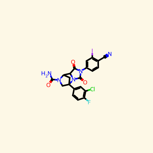 N#Cc1ccc(N2C(=O)C3C4CC(c5ccc(F)c(Cl)c5)(CN4C(N)=O)N3C2=O)cc1I